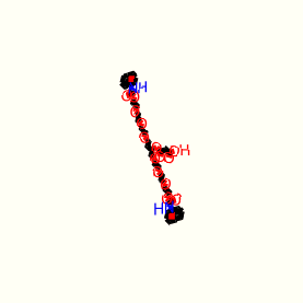 O=C(O)CC(=O)OC(CCOCCOCCOCCOC(=O)NC12CC3CC(CC(C3)C1)C2)COCCOCCOCCOC(=O)NC12CC3CC(CC(C3)C1)C2